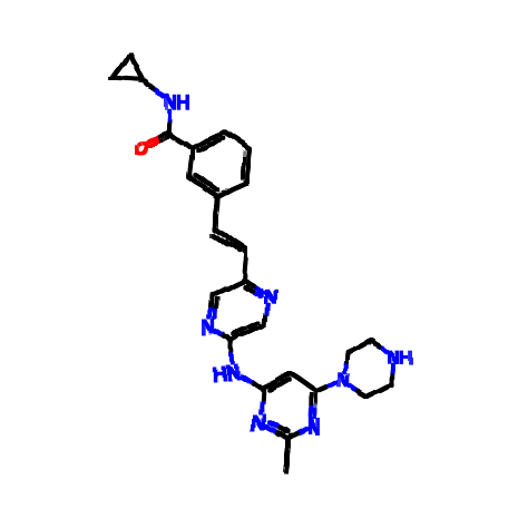 Cc1nc(Nc2cnc(/C=C/c3cccc(C(=O)NC4CC4)c3)cn2)cc(N2CCNCC2)n1